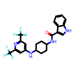 O=C(NC1CCC(Nc2cc(C(F)(F)F)nc(C(F)(F)F)c2)CC1)c1c[nH]c2ccccc12